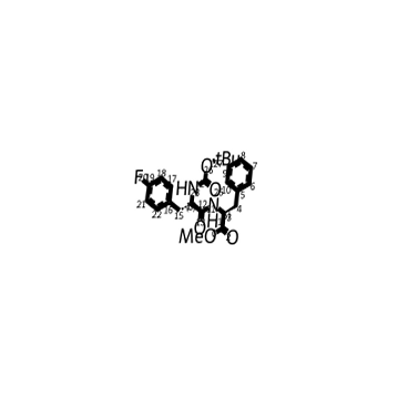 COC(=O)[C@H](Cc1ccccc1)NC(=O)[C@H](Cc1ccc(F)cc1)NC(=O)OC(C)(C)C